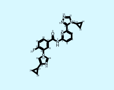 O=C(Nc1cccc(-c2nncn2C2CC2)n1)c1ccc(F)c(-n2cnc(C3CC3)c2)c1